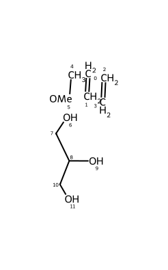 C=C.C=C.COC.OCC(O)CO